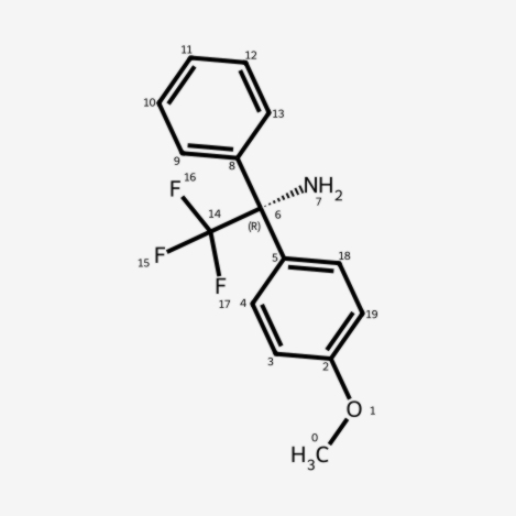 COc1ccc([C@](N)(c2ccccc2)C(F)(F)F)cc1